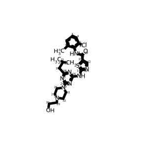 Cc1cccc(Cl)c1NC(=O)c1cnc(Nc2nc(CC(C)C)nc(N3CCN(CCO)CC3)n2)s1